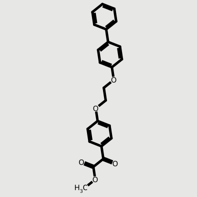 COC(=O)C(=O)c1ccc(OCCOc2ccc(-c3ccccc3)cc2)cc1